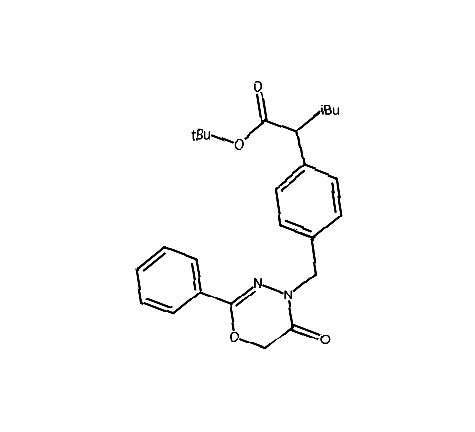 CCC(C)C(C(=O)OC(C)(C)C)c1ccc(CN2N=C(c3ccccc3)OCC2=O)cc1